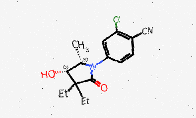 CCC1(CC)C(=O)N(c2ccc(C#N)c(Cl)c2)[C@@H](C)[C@H]1O